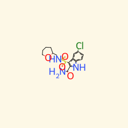 NC(=O)c1[nH]c2ccc(Cl)cc2c1S(=O)(=O)NCC1CCCCO1